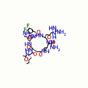 CCCC[C@H](NC(C)=O)C(=O)N[C@H]1CCC(=O)NCCC(C(N)=O)NC(=O)[C@H](CCCNC(=N)N)NC(=O)[C@@H](Cc2ccc(F)c(F)c2)NC(=O)[C@H](CCCN)NC1=O